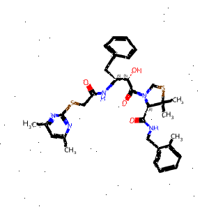 Cc1cc(C)nc(SCC(=O)N[C@@H](Cc2ccccc2)[C@H](O)C(=O)N2CSC(C)(C)[C@H]2C(=O)NCc2ccccc2C)n1